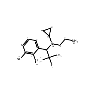 CC(C)(F)C(c1cccc(C#N)c1F)N(CCN)C1CC1